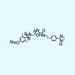 COc1cc(C)c(S(=O)(=O)N(C)Cc2nnc(C(=O)NCCc3ccc(C4=NCCN4)cc3)o2)c(C)c1